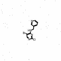 Clc1ncc(Br)c(NCc2cccnc2)n1